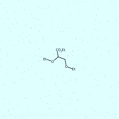 CCOCC(OCC)C(=O)OCC